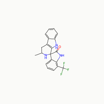 CC1Cc2c([nH]c3ccccc23)C2(N1)C(=O)Nc1c(C(F)(F)F)cccc12